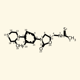 CC(=S)NC[C@H]1CN(c2ccc(N3CCSCC3O)c(F)c2)C(=O)O1